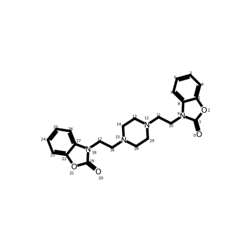 O=c1oc2ccccc2n1CCN1CCN(CCn2c(=O)oc3ccccc32)CC1